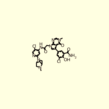 CN1CC2CC1CN2c1cc(NC(=O)Cn2cc(-c3cc(Cl)c(O)c(C(N)=O)c3)c3c(=O)n(C)cnc32)c(Cl)cn1